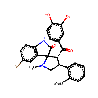 COc1ccccc1[C@H]1CN(C)C2(C(=O)Nc3ccc(Br)cc32)[C@H]1C(=O)c1ccc(O)c(O)c1